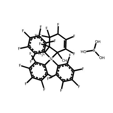 CC1(F)C(F)C(F)=C(F)C(C)([Si](c2c(F)c(F)c(F)c(F)c2F)(c2c(F)c(F)c(F)c(F)c2F)c2c(F)c(F)c(F)c(F)c2F)C1(C)F.OB(O)O